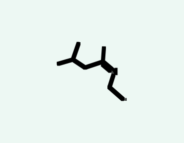 [CH2]CN=C(C)CC(C)C